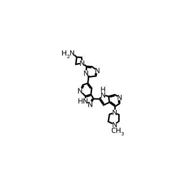 CN1CCN(c2cncc3[nH]c(-c4n[nH]c5ncc(-c6cncc(N7CC(N)C7)n6)cc45)cc23)CC1